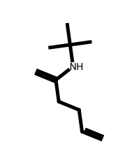 C=CCCC(=C)NC(C)(C)C